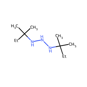 CCC(C)(C)NNNC(C)(C)CC